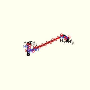 CC(C)(C)C(=O)C1(OCNC(=O)CNC(=O)[C@H](Cc2ccccc2)NC(=O)CNC(=O)CNC(=O)COCCOCCOCCOCCOCCOCCOCCOCCOCCNC(=O)[C@H]2CC[C@H](CN3C(=O)CC(C(C)(C)C)C3=O)CC2)CC1